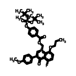 CCCOc1ccc(F)c2c(=O)c(-c3ccc(OC)cc3)cn(COC(=O)c3ccc(OP(=O)(OC(C)(C)C)OC(C)(C)C)cc3)c12